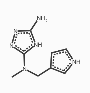 CN(Cc1cc[nH]c1)c1nnc(N)[nH]1